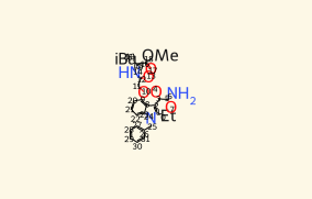 CCc1c(C(=O)C(N)=O)c2c(OCC(=O)N[C@H](C(=O)OC)[C@@H](C)CC)cccc2n1Cc1ccccc1